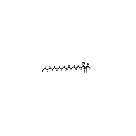 CCCCCCCCCCCCCCCCCC(=O)NC(C)C